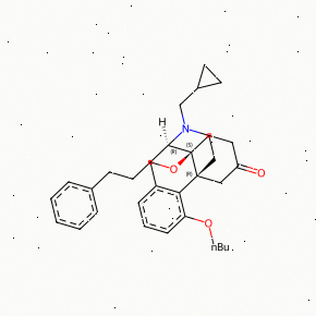 CCCCOc1cccc2c1[C@]13CCN(CC4CC4)[C@H](C2)[C@]1(OCCCc1ccccc1)CCC(=O)C3